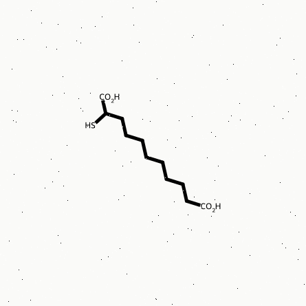 O=C(O)CCCCCCCCC(S)C(=O)O